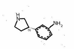 Nc1cccc([C@@H]2CCNC2)c1